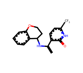 C=C(NC1CCOc2ccccc21)c1ccc(C(F)(F)F)[nH]c1=O